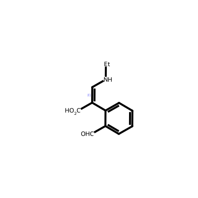 CCN/C=C(/C(=O)O)c1ccccc1C=O